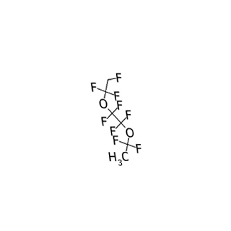 CC(F)(F)OC(F)(F)C(F)(F)OC(F)(F)CF